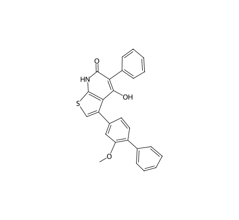 COc1cc(-c2csc3[nH]c(=O)c(-c4ccccc4)c(O)c23)ccc1-c1ccccc1